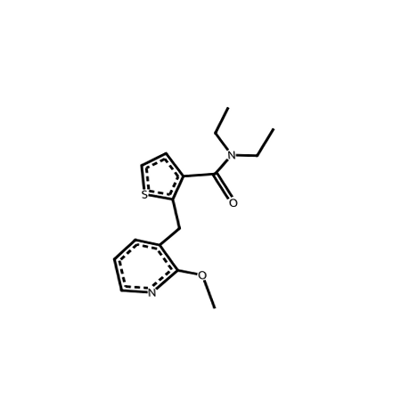 CCN(CC)C(=O)c1ccsc1Cc1cccnc1OC